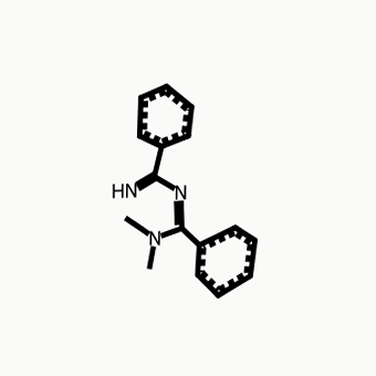 CN(C)/C(=N\C(=N)c1ccccc1)c1ccccc1